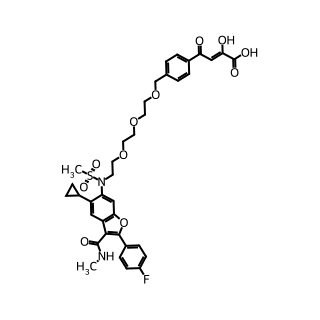 CNC(=O)c1c(-c2ccc(F)cc2)oc2cc(N(CCOCCOCCOCc3ccc(C(=O)C=C(O)C(=O)O)cc3)S(C)(=O)=O)c(C3CC3)cc12